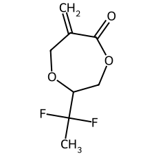 C=C1COC(C(C)(F)F)COC1=O